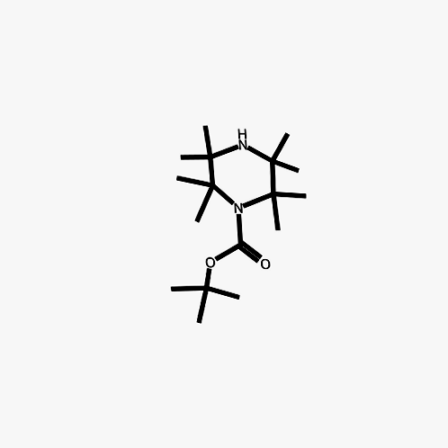 CC(C)(C)OC(=O)N1C(C)(C)C(C)(C)NC(C)(C)C1(C)C